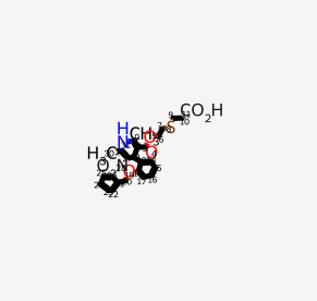 CC1=C(C(=O)OCCSCCC(=O)O)C(c2ccccc2OCc2ccccc2)C([N+](=O)[O-])=C(C)N1